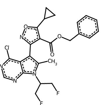 Cc1c(-c2noc(C3CC3)c2C(=O)OCc2ccccc2)c2c(Cl)ncnc2n1C(CF)CF